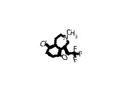 CN1CCc2c(Cl)ccc3oc(C(F)(F)F)c(c23)C1